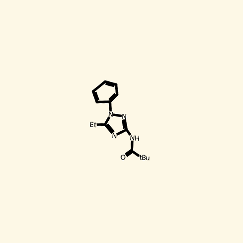 CCc1nc(NC(=O)C(C)(C)C)nn1-c1ccccc1